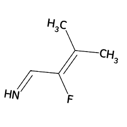 CC(C)=C(F)C=N